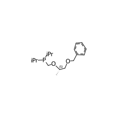 CC(C)P(CO[C@@H](C)COCc1ccccc1)C(C)C